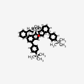 C[Si](C)(C)c1ccc(-c2cccc3c2C=C[CH]3[Hf]([CH3])([CH3])([CH3])(=[CH]Cc2ccccc2)[CH]2C=Cc3c(-c4ccc([Si](C)(C)C)cc4)cccc32)cc1